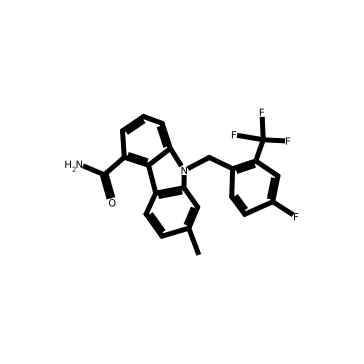 Cc1c[c]c2c3c(C(N)=O)cccc3n(Cc3ccc(F)cc3C(F)(F)F)c2c1